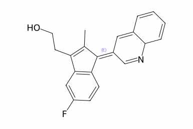 CC1=C(CCO)c2cc(F)ccc2/C1=C1\C=NC2C=CC=CC2=C1